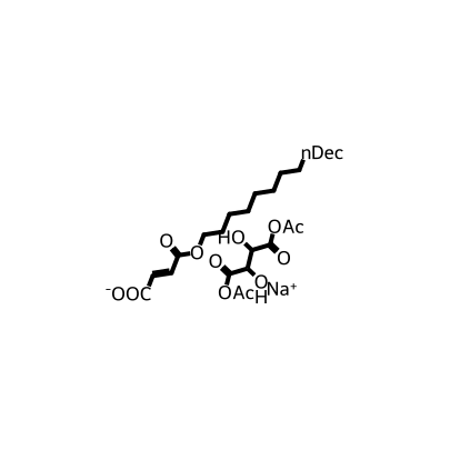 CC(=O)OC(=O)C(O)C(O)C(=O)OC(C)=O.CCCCCCCCCCCCCCCCCCOC(=O)/C=C/C(=O)[O-].[Na+]